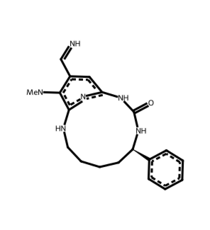 CNc1c(C=N)cc2nc1NCCCC[C@H](c1ccccc1)NC(=O)N2